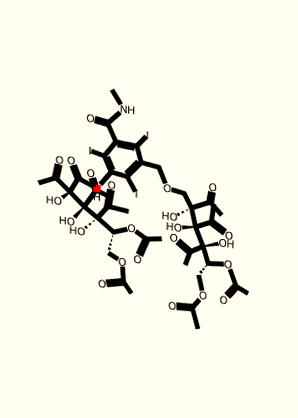 CNC(=O)c1c(I)c(COC[C@@](O)(C(C)=O)[C@](O)(C(C)=O)[C@@](O)(C(C)=O)[C@@H](COC(C)=O)OC(C)=O)c(I)c(NC(=O)[C@@](O)(C(C)=O)[C@](O)(C(C)=O)[C@@](O)(C(C)=O)[C@@H](COC(C)=O)OC(C)=O)c1I